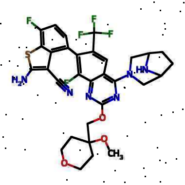 COC1(COc2nc(N3CC4CCC(C3)N4)c3cc(C(F)(F)F)c(-c4ccc(F)c5sc(N)c(C#N)c45)c(F)c3n2)CCOCC1